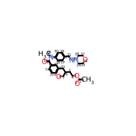 CC(=O)OCCC1COc2ccc(C(=O)N(C)c3ccc(C=NN4CCOCC4)cc3)cc2C1